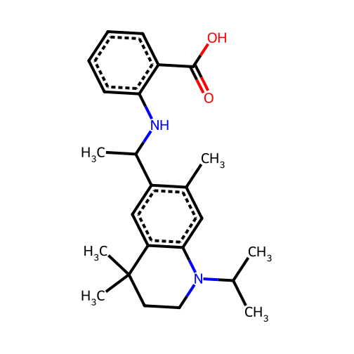 Cc1cc2c(cc1C(C)Nc1ccccc1C(=O)O)C(C)(C)CCN2C(C)C